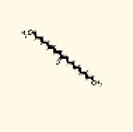 CCCCCCC=CC=CC(=O)CCCCCCCCCC